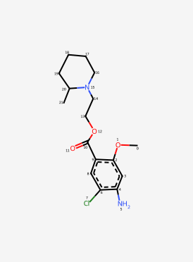 COc1cc(N)c(Cl)cc1C(=O)OCCN1CCCCC1C